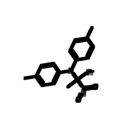 Cc1ccc(N(c2ccc(C)cc2)C(C)(C(C)C)[SH](=O)=O)cc1